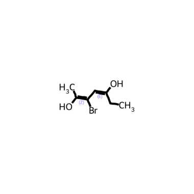 CC/C(O)=C\C(Br)=C(/C)O